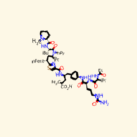 CCCCC[C@H](CC(C(C)C)N(CCC)C(=O)[C@@H](NC(=O)[C@H]1CCCCN1C)[C@@H](C)CC)c1nc(C(=O)N[C@@H](Cc2ccc(NC(=O)[C@H](CCCNC(N)=O)NC(=O)C(NC(=O)CC)C(C)C)cc2)C[C@H](C)C(=O)O)cs1